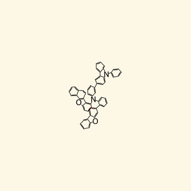 c1ccc(-n2c3ccccc3c3cc(-c4cccc(N(c5ccccc5-c5ccc6c(c5)oc5ccccc56)c5cccc6oc7c8ccccc8ccc7c56)c4)ccc32)cc1